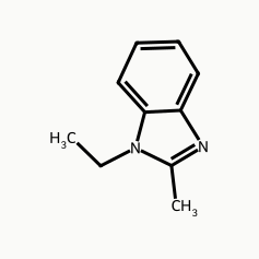 CCn1c(C)nc2ccccc21